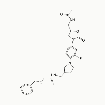 CC(=O)NCC1CN(c2ccc(N3CCC(CNC(=O)COCc4ccccc4)C3)c(F)c2)C(=O)O1